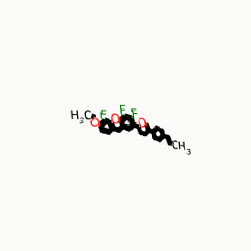 CCCC1CCC(C2=COC(c3cc4c(c(F)c3F)Oc3c(ccc(OCC)c3F)C4)CC2)CC1